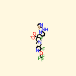 COC(=O)C1(Cc2nc(Nc3nccs3)ccc2F)CCN(Cc2ccnc(OCC(F)(F)F)c2F)C(C)C1